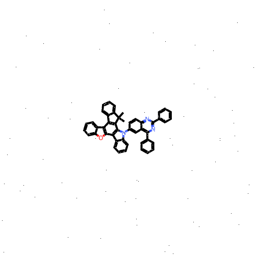 CC1(C)c2ccccc2-c2c1c1c(c3ccccc3n1-c1ccc3nc(-c4ccccc4)nc(-c4ccccc4)c3c1)c1oc3ccccc3c21